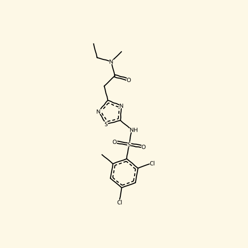 CCN(C)C(=O)Cc1nsc(NS(=O)(=O)c2c(C)cc(Cl)cc2Cl)n1